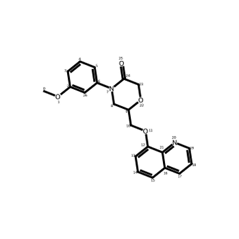 COc1cccc(N2CC(COc3cccc4cccnc34)OCC2=O)c1